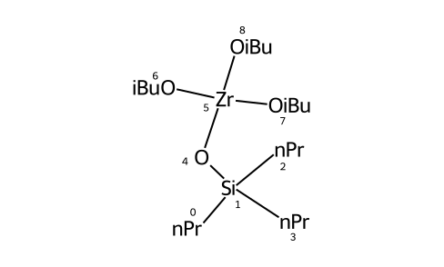 CCC[Si](CCC)(CCC)[O][Zr]([O]CC(C)C)([O]CC(C)C)[O]CC(C)C